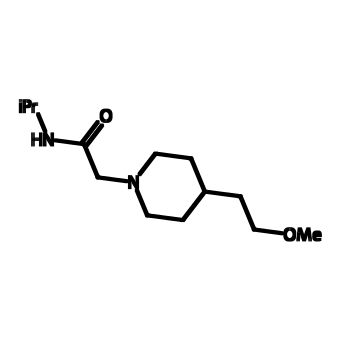 COCCC1CCN(CC(=O)NC(C)C)CC1